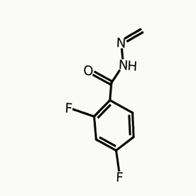 C=NNC(=O)c1ccc(F)cc1F